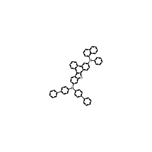 c1ccc(-c2ccc(N(c3ccc(-c4ccccc4)cc3)c3ccc4c(c3)sc3c5ccc(N(c6ccccc6)c6cccc7ccccc67)cc5c5ccccc5c43)cc2)cc1